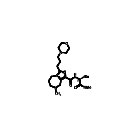 CNC(=O)[C@@H](NC(=O)c1nc(CCCN2CCOCC2)n2c1CN(C)CCC2)C(C)(C)C